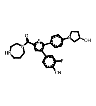 N#Cc1ccc(-c2cc(C(=O)N3CCCNCC3)sc2-c2ccc(N3CC[C@@H](O)C3)cc2)cc1F